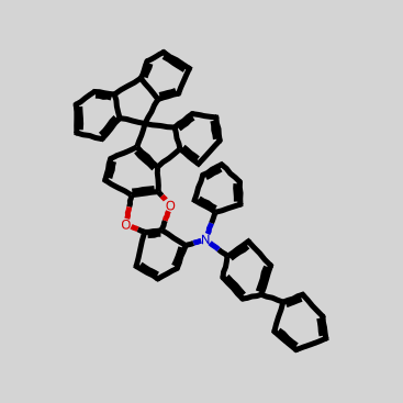 c1ccc(-c2ccc(N(c3ccccc3)c3cccc4c3Oc3c(ccc5c3-c3ccccc3C53c5ccccc5-c5ccccc53)O4)cc2)cc1